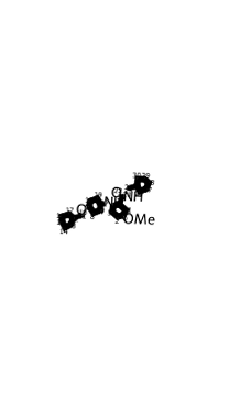 COc1ccc(Nc2ccc(OCc3ccccc3)cc2)c(C(=O)NCc2ccccc2)c1